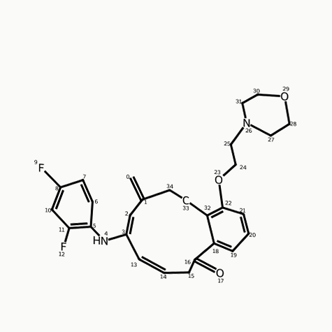 C=C1/C=C(Nc2ccc(F)cc2F)\C=C/CC(=O)c2cccc(OCCN3CCOCC3)c2CC1